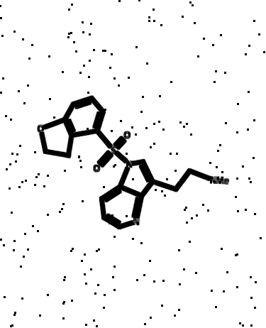 CNCCc1cn(S(=O)(=O)c2cccc3c2CCO3)c2cccnc12